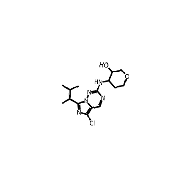 CC(C)C(C)c1nc(Cl)c2cnc(NC3CCOCC3O)nn12